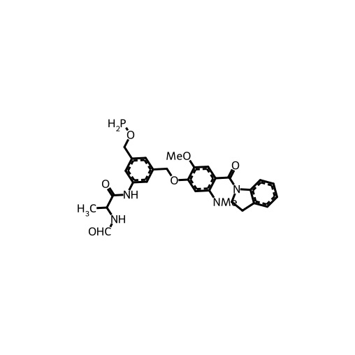 CNc1cc(OCc2cc(COP)cc(NC(=O)C(C)NC=O)c2)c(OC)cc1C(=O)N1CCc2ccccc21